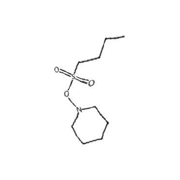 CCCCS(=O)(=O)ON1CCCCC1